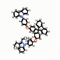 C=Cc1c(/C=C\C)c2ccccc2n1-c1ccc(Oc2ccc(C3(c4ccc(Oc5ccc(-n6c7ccccc7c7ccccc76)cc5)cc4)c4ccccc4-c4ccccc43)cc2)cc1